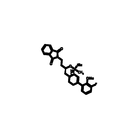 COc1c(F)cccc1C1=CCN(C[C@@H](CCN2C(=O)c3ccccc3C2=O)O[Si](C)(C)C(C)(C)C)CC1